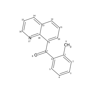 Cc1ccccc1C(=O)c1cccc2cccnc12